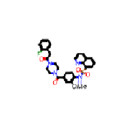 COc1cc(C(=O)N2CCN(C(=O)Cc3ccccc3F)CC2)ccc1NS(=O)(=O)c1cccc2cccnc12